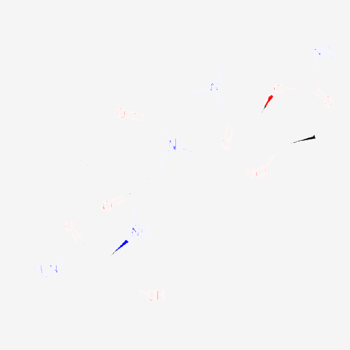 Cc1cccc(CC2(C(=O)N[C@H](C(N)=O)[C@@H](C)O)CCCN2C(=O)[C@@H]2CCCN2C(=O)[C@@H](OC(N)=O)[C@@H](C)O)c1